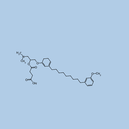 COc1cccc(CCCCCCCCCC2=CCCC(OCC(CN(C)C)OC(=O)CCC(=O)O)=C2)c1